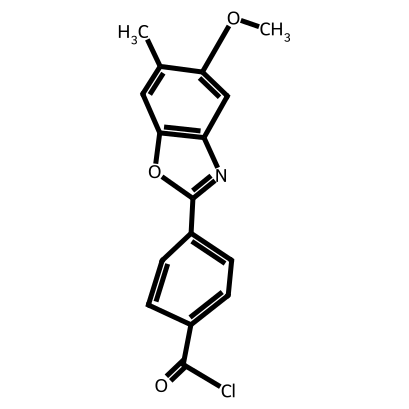 COc1cc2nc(-c3ccc(C(=O)Cl)cc3)oc2cc1C